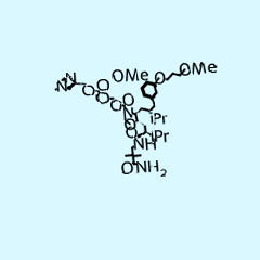 COCCCOc1cc(C[C@@H](C[C@H]2[C@H](C[C@H](C(=O)NCC(C)(C)C(N)=O)C(C)C)OCN2C(=O)OCOC(=O)OCc2cn(C)cn2)C(C)C)ccc1OC